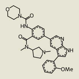 COc1ccccc1-c1c[nH]c2ncc(-c3ccc(NC(=O)N4CCOCC4)c(C(=O)N(C)C4CCN(C)C4)c3)cc12